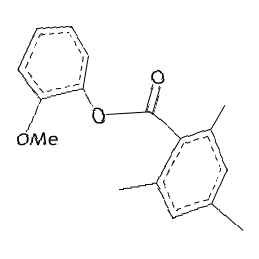 COc1ccccc1OC(=O)c1c(C)cc(C)cc1C